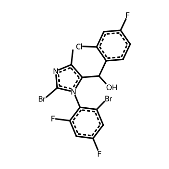 Cc1nc(Br)n(-c2c(F)cc(F)cc2Br)c1C(O)c1ccc(F)cc1Cl